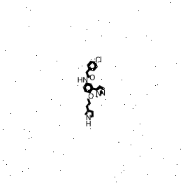 Cn1nccc1-c1cc(NC(=O)Cc2ccc(Cl)cc2)ccc1OCCCC1CCNC1